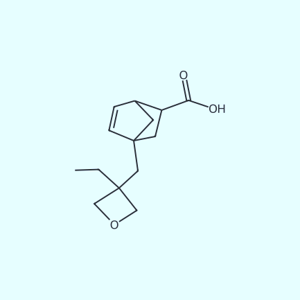 CCC1(CC23C=CC(C2)C(C(=O)O)C3)COC1